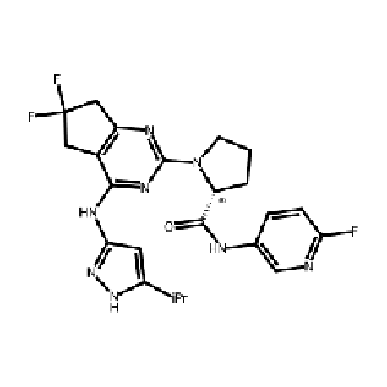 CC(C)c1cc(Nc2nc(N3CCC[C@@H]3C(=O)Nc3ccc(F)nc3)nc3c2CC(F)(F)C3)n[nH]1